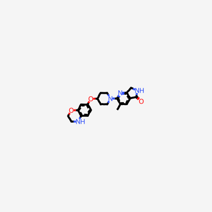 Cc1cc2c(nc1N1CCC(Oc3ccc4c(c3)OCCN4)CC1)CNC2=O